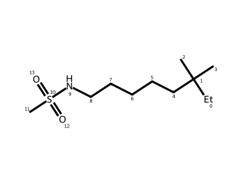 CCC(C)(C)CCCCCNS(C)(=O)=O